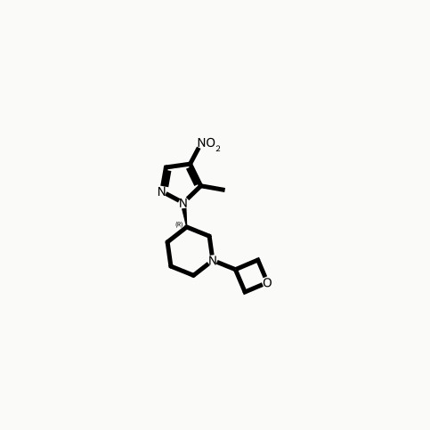 Cc1c([N+](=O)[O-])cnn1[C@@H]1CCCN(C2COC2)C1